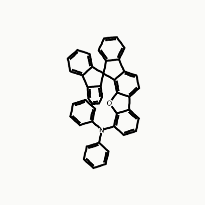 c1ccc(N(c2ccccc2)c2cccc3c2oc2c4c(ccc23)-c2ccccc2C42c3ccccc3-c3ccccc32)cc1